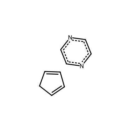 C1=CCC=C1.c1cnccn1